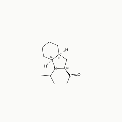 CC(=O)[C@@H]1C[C@@H]2CCCC[C@@H]2N1C(C)C